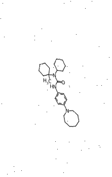 CC1(N(C(=O)Nc2ccc(N3CCCCCCC3)cc2)C2CCCCC2)CCCCC1